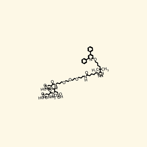 CC(C)(CCCCOc1cc(-c2ccccc2)cc(-c2ccccc2)n1)c1nnnn1CCCCC(=O)NCCCOCCOCCOCCCNC(=O)C(CS(=O)(=O)O)NC(=O)C(CS(=O)(=O)O)NC(=O)C(N)CS(=O)(=O)O